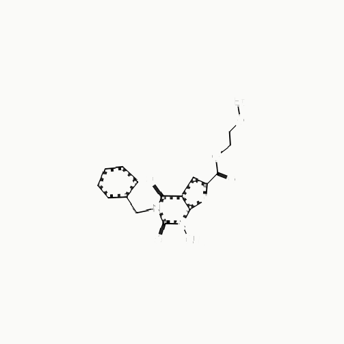 CCOCCOC(=O)c1cc2c(=O)n(Cc3ccccc3)c(=O)n(C)c2s1